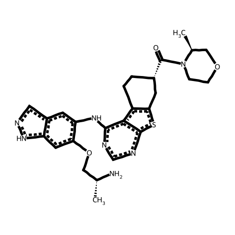 C[C@@H](N)COc1cc2[nH]ncc2cc1Nc1ncnc2sc3c(c12)CC[C@H](C(=O)N1CCOC[C@@H]1C)C3